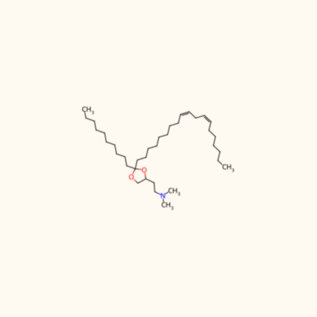 CCCCCC/C=C\C/C=C\CCCCCCCCC1(CCCCCCCCCC)OCC(CCN(C)C)O1